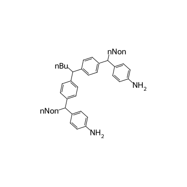 CCCCCCCCCC(c1ccc(N)cc1)c1ccc(C(CCCC)c2ccc(C(CCCCCCCCC)c3ccc(N)cc3)cc2)cc1